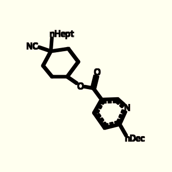 CCCCCCCCCCc1ccc(C(=O)OC2CCC(C#N)(CCCCCCC)CC2)cn1